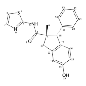 C[C@]1(C(=O)Nc2nccs2)Cc2cc(O)ccc2[C@H]1c1ccccc1